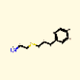 NCCSCCCc1ccccc1